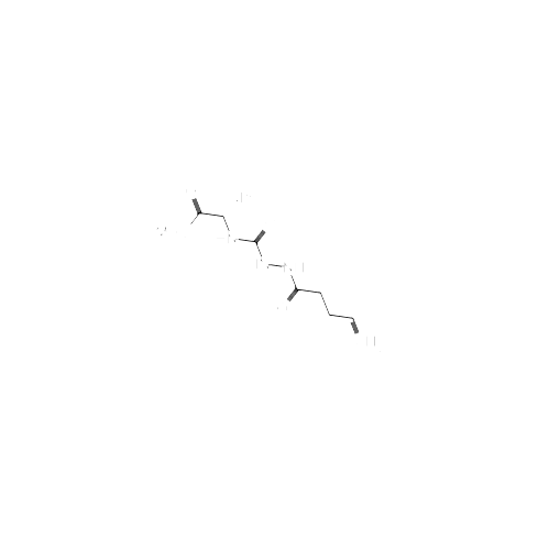 C=CCCC(=O)NNC(=O)N[C@H](C(=O)OC)C(C)C